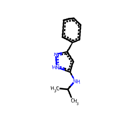 CC(C)Nc1cc(-c2ccccc2)n[nH]1